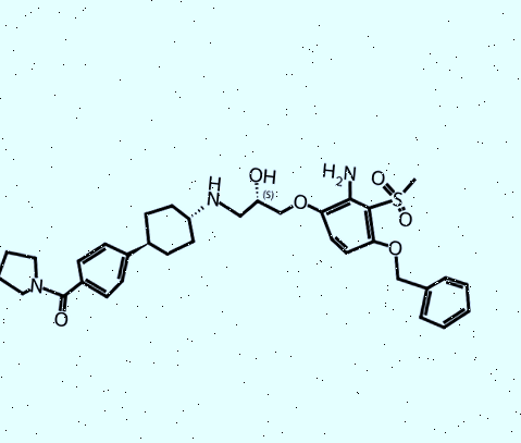 CS(=O)(=O)c1c(OCc2ccccc2)ccc(OC[C@@H](O)CN[C@H]2CC[C@H](c3ccc(C(=O)N4CCCC4)cc3)CC2)c1N